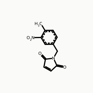 Cc1ccc(CN2C(=O)C=CC2=O)cc1[N+](=O)[O-]